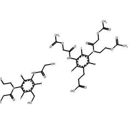 CC(=O)OCCN(C(=O)COC(C)=O)c1c(I)c(CCC(=O)O)c(I)c(NC(=O)COC(C)=O)c1I.O=C(CO)Nc1c(I)c(CO)c(I)c(N(CCO)C(=O)CO)c1I